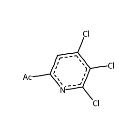 CC(=O)c1cc(Cl)c(Cl)c(Cl)n1